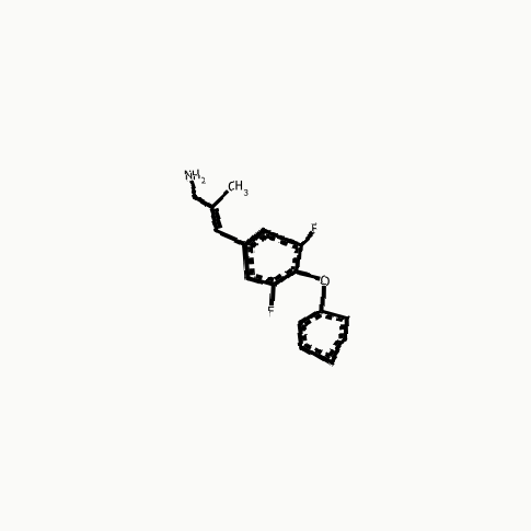 C/C(=C\c1cc(F)c(Oc2ccccc2)c(F)c1)CN